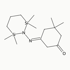 CC1(C)CC(=O)CC(=NN2[Si](C)(C)CCC[Si]2(C)C)C1